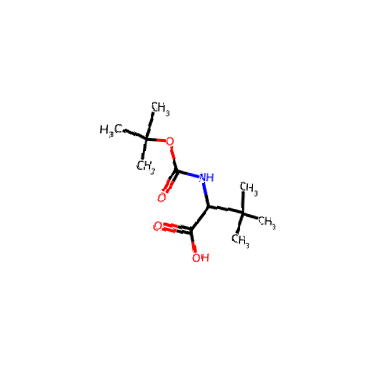 CC(C)(C)OC(=O)NC(C(=O)O)C(C)(C)C